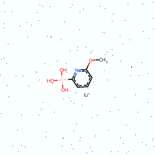 COc1cccc([B-](O)(O)O)n1.[Li+]